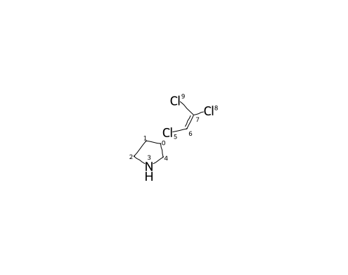 C1CCNC1.ClC=C(Cl)Cl